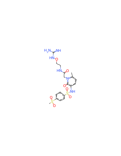 Cc1ccc(NS(=O)(=O)c2ccc(S(C)(=O)=O)cc2)c(=O)n1CC(=O)NCCONC(=N)N